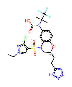 CCn1cc(S(=O)(=O)N2C[C@H](CCc3nnn[nH]3)Oc3ccc(N(C(=O)O)C(C)(C)C(F)(F)F)cc32)c(Cl)n1